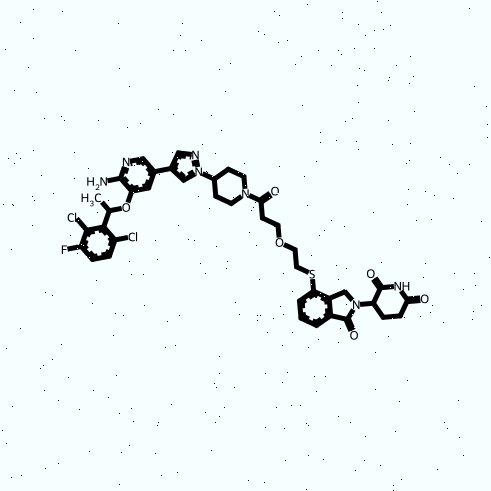 CC(Oc1cc(-c2cnn(C3CCN(C(=O)CCOCCSc4cccc5c4CN(C4CCC(=O)NC4=O)C5=O)CC3)c2)cnc1N)c1c(Cl)ccc(F)c1Cl